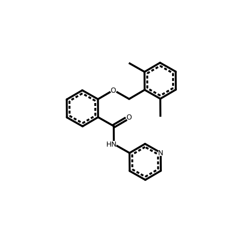 Cc1cccc(C)c1COc1ccccc1C(=O)Nc1cccnc1